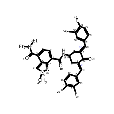 CCN(CC)C(=O)c1ccc(C(=O)NC2C/C(=C\c3ccc(F)c(F)c3)C(=O)/C(=C/c3ccc(F)c(F)c3)C2)c2nn(C)cc12